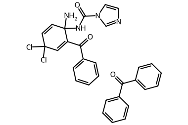 NC1(NC(=O)n2ccnc2)C=CC(Cl)(Cl)C=C1C(=O)c1ccccc1.O=C(c1ccccc1)c1ccccc1